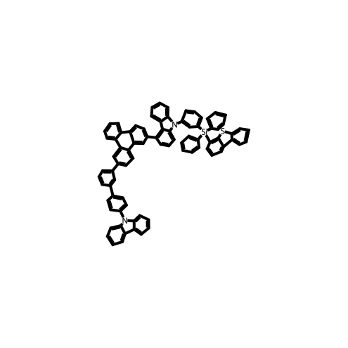 c1ccc([Si](c2ccccc2)(c2cccc(-n3c4ccccc4c4c(-c5ccc6c7ccccc7c7cc(-c8cccc(-c9ccc(-n%10c%11ccccc%11c%11ccccc%11%10)cc9)c8)ccc7c6c5)cccc43)c2)c2cccc3c2sc2ccccc23)cc1